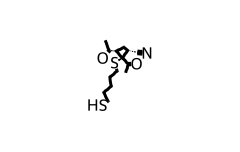 CC(=O)[C@@H]1C[C@H](C#N)[C@]1(SCCCCCS)C(C)=O